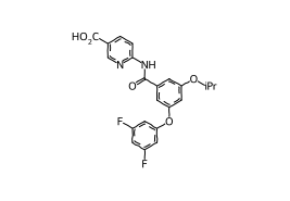 CC(C)Oc1cc(Oc2cc(F)cc(F)c2)cc(C(=O)Nc2ccc(C(=O)O)cn2)c1